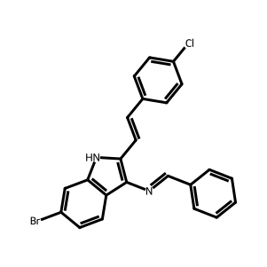 Clc1ccc(C=Cc2[nH]c3cc(Br)ccc3c2N=Cc2ccccc2)cc1